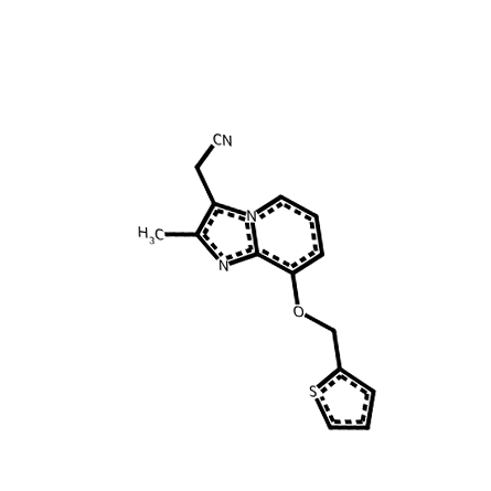 Cc1nc2c(OCc3cccs3)cccn2c1CC#N